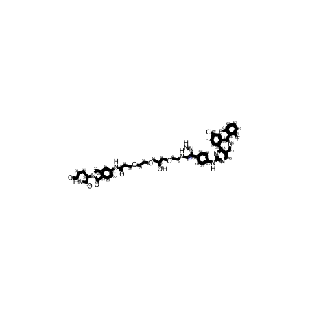 N=N/C(=C\NCCOCC(O)COCCOCCC(=O)Nc1ccc2c(c1)CN(C1CCC(=O)NC1=O)C2=O)c1ccc(Nc2ncc3c(n2)-c2ccc(Cl)cc2C(c2c(F)cccc2F)=NC3)cc1